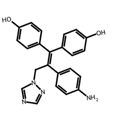 Nc1ccc(C(Cn2cncn2)=C(c2ccc(O)cc2)c2ccc(O)cc2)cc1